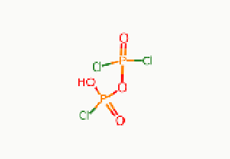 O=P(O)(Cl)OP(=O)(Cl)Cl